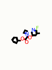 Cc1cc(OC(C(=O)OCc2ccccc2)N2CCC2)cnc1F